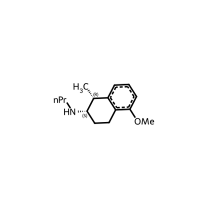 CCCN[C@H]1CCc2c(OC)cccc2[C@H]1C